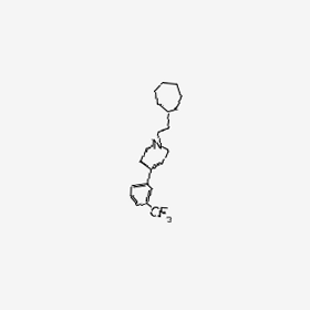 FC(F)(F)c1cccc(C2=CCN(CCC3CCCCCC3)CC2)c1